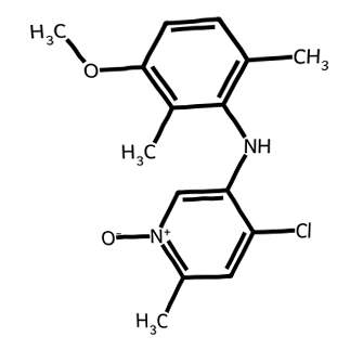 COc1ccc(C)c(Nc2c[n+]([O-])c(C)cc2Cl)c1C